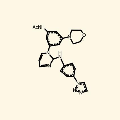 CC(=O)Nc1cc(N2CCOCC2)cc(N2C=CC=NC2Nc2ccc(-n3ccnn3)cc2)c1